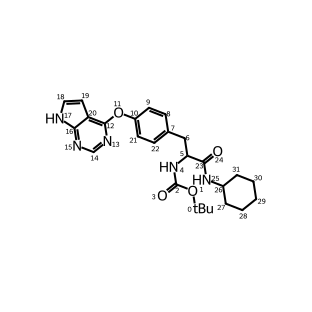 CC(C)(C)OC(=O)NC(Cc1ccc(Oc2ncnc3[nH]ccc23)cc1)C(=O)NC1CCCCC1